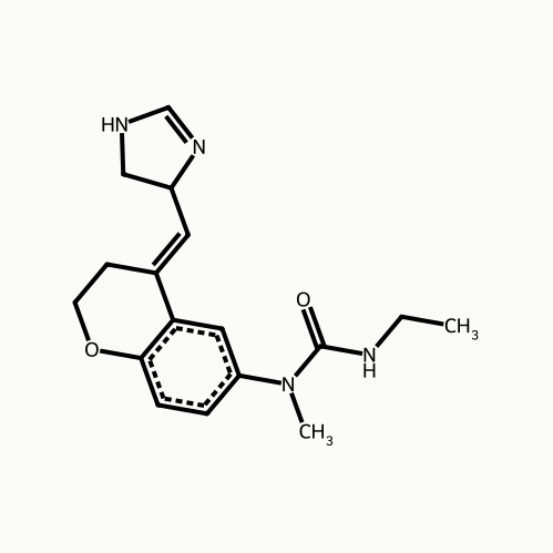 CCNC(=O)N(C)c1ccc2c(c1)/C(=C/C1CNC=N1)CCO2